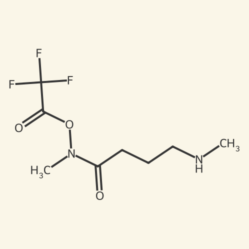 CNCCCC(=O)N(C)OC(=O)C(F)(F)F